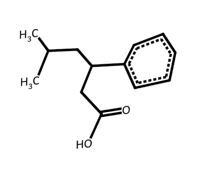 CC(C)CC(CC(=O)O)c1ccccc1